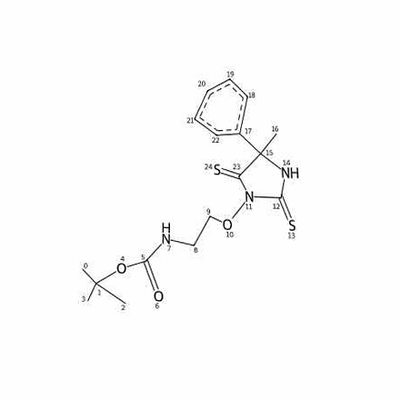 CC(C)(C)OC(=O)NCCON1C(=S)NC(C)(c2ccccc2)C1=S